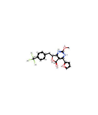 COc1nc(-c2ccco2)c2c(n1)C(Cc1ccc(C(F)(F)F)cc1)OC2=O